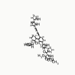 COC(=O)N[C@H](C(=O)N1CCC[C@H]1c1ncc(-c2ccc(C#CC#Cc3cnc([C@@H]4CCCN4)[nH]3)c(-c3ccccc3C)c2)[nH]1)C(C)C.Cl.Cl.Cl